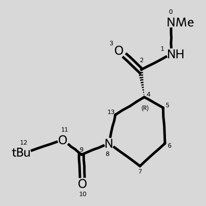 CNNC(=O)[C@@H]1CCCN(C(=O)OC(C)(C)C)C1